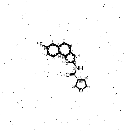 O=C(Nc1nc2ccc3cc(F)ccc3c2s1)[C@@H]1CCOC1